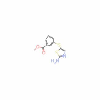 COC(=O)c1cccc(Sc2cnc(N)s2)c1